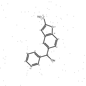 O=C(O)c1cc2cc(C(O)c3cccnc3)ccc2o1